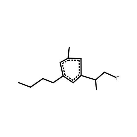 CCCCc1cc(C)cc([C](C)CF)c1